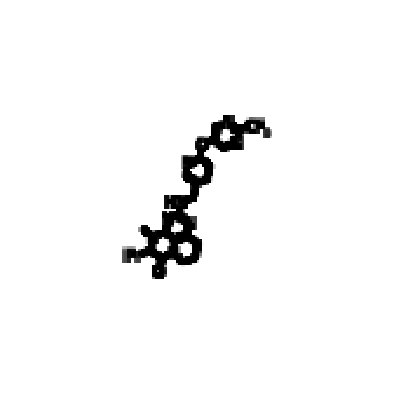 CC(C)C1C(=O)N2CCCc3nc(NCc4ccc(Oc5cnc(C(F)(F)F)nc5)nc4)nc(c32)N1C